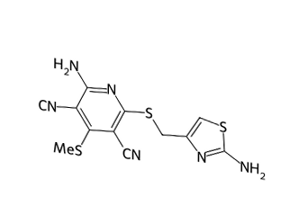 [C-]#[N+]c1c(N)nc(SCc2csc(N)n2)c(C#N)c1SC